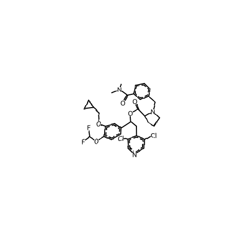 CN(C)C(=O)c1cccc(CN2CCCC2C(=O)OC(Cc2c(Cl)cncc2Cl)c2ccc(OC(F)F)c(OCC3CC3)c2)c1